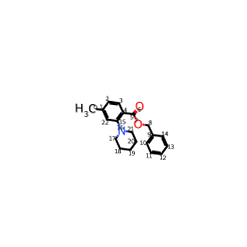 Cc1ccc(C(=O)OCc2ccccc2)c(N2CCCCC2)c1